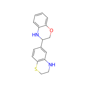 c1ccc2c(c1)NC(c1ccc3c(c1)NCCS3)CO2